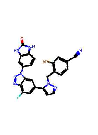 N#Cc1ccc(Cn2nccc2-c2cc(F)c3nnn(-c4ccc5[nH]c(=O)[nH]c5c4)c3c2)c(Br)c1